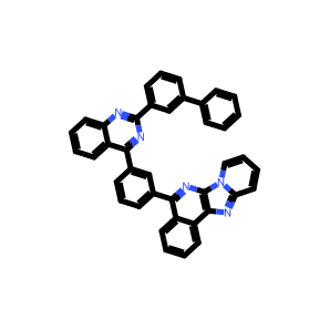 c1ccc(-c2cccc(-c3nc(-c4cccc(-c5nc6c(nc7ccccn76)c6ccccc56)c4)c4ccccc4n3)c2)cc1